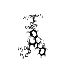 CON(C)C(=O)c1sc(-c2ccccc2Cl)c(C)c1-c1ccc(S(=O)(=O)N=CN(C)C)cc1